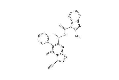 C#Cc1csc2nc(C(C)NC(=O)c3c(N)nn4cccnc34)c(-c3ccccc3)c(=O)n12